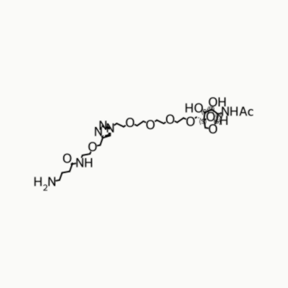 CC(=O)N[C@H]1[C@H]2OC[C@](COCCOCCOCCOCCn3cc(COCCNC(=O)CCCN)nn3)(O2)[C@H](O)[C@@H]1O